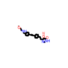 COCCNCc1ccc(C#Cc2ccc(CCc3nc[nH]c(=O)c3O)cc2)cc1